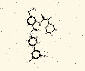 CC(C(=O)Nc1cc(OC(F)(F)F)ccc1C(=O)Nc1ccc(-c2cc(F)cc(F)c2)nc1)N1CCOCC1